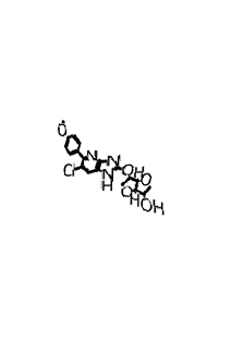 COc1ccc(-c2nc3nc(O[C@@H]4CO[C@H]5[C@@H]4OC[C@H]5O)[nH]c3cc2Cl)cc1